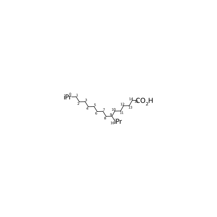 CC(C)CCCCCCCCC(CCCCCC(=O)O)C(C)C